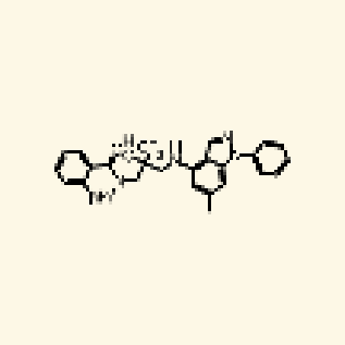 CCCN(CC(O)(CNc1cc(C)cc2c1cnn2-c1ccccc1)C(F)(F)F)C(=O)c1ccccc1F